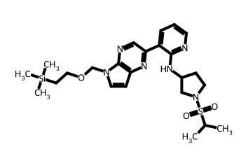 CC(C)S(=O)(=O)N1CCC(Nc2ncccc2-c2cnc3c(ccn3COCC[Si](C)(C)C)n2)C1